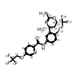 C[C@@]1(c2cc(NC(=O)c3ccc(OCC(F)(F)F)cn3)ccc2F)C[C@@H](C(F)(F)F)OC(N)=N1